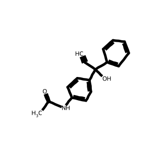 C#CC(O)(c1ccccc1)c1ccc(NC(C)=O)cc1